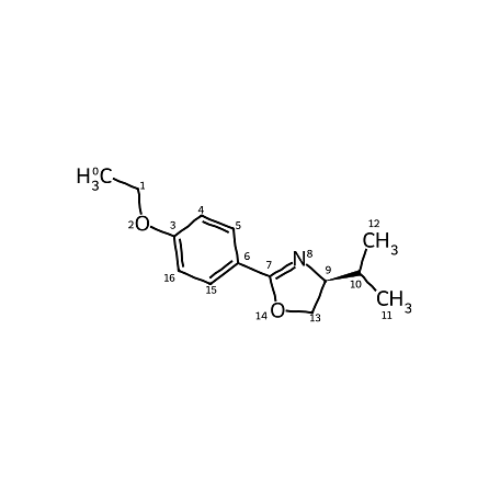 CCOc1ccc(C2=N[C@@H](C(C)C)CO2)cc1